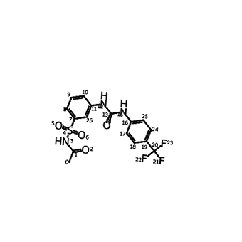 CC(=O)NS(=O)(=O)c1cccc(NC(=O)Nc2ccc(C(F)(F)F)cc2)c1